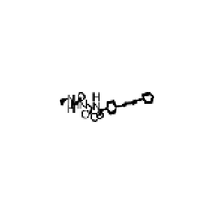 COC(=O)C(CNC(=O)CNC1CC1)NC(=O)c1ccc(C#CC#Cc2ccccc2)cc1